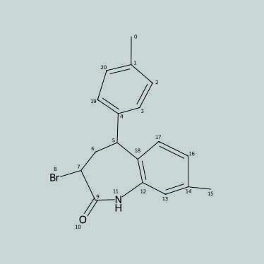 Cc1ccc(C2CC(Br)C(=O)Nc3cc(C)ccc32)cc1